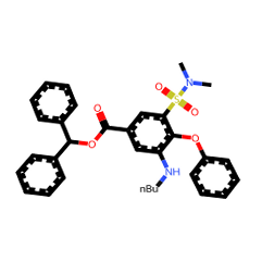 CCCCNc1cc(C(=O)OC(c2ccccc2)c2ccccc2)cc(S(=O)(=O)N(C)C)c1Oc1ccccc1